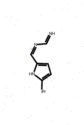 CC(C)c1ccc(/C=N\C=N)[nH]1